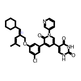 CC(C)=C/C(=C\C1CCCCC1)COc1cc(Cl)cc(-c2cc(-c3c[nH]c(=O)[nH]c3=O)cn(-c3cccnc3)c2=O)c1